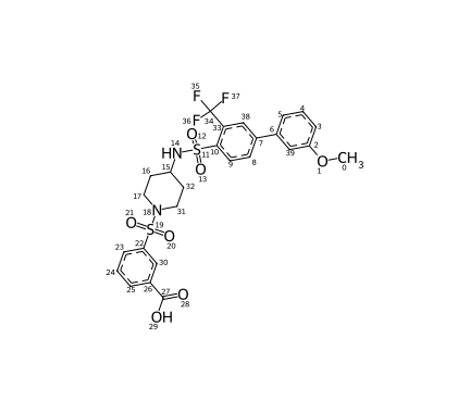 COc1cccc(-c2ccc(S(=O)(=O)NC3CCN(S(=O)(=O)c4cccc(C(=O)O)c4)CC3)c(C(F)(F)F)c2)c1